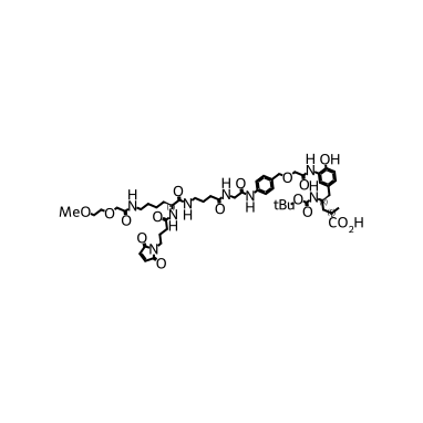 COCCOCC(=O)NCCCC[C@H](NC(=O)CCCN1C(=O)C=CC1=O)C(=O)NCCCC(=O)NCC(=O)Nc1ccc(COCC(=O)Nc2cc(C[C@@H](C[C@H](C)C(=O)O)NC(=O)OC(C)(C)C)ccc2O)cc1